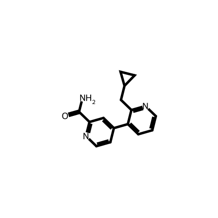 NC(=O)c1cc(-c2cccnc2CC2CC2)ccn1